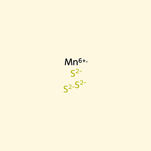 [Mn+6].[S-2].[S-2].[S-2]